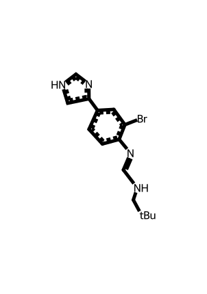 CC(C)(C)CNC=Nc1ccc(-c2c[nH]cn2)cc1Br